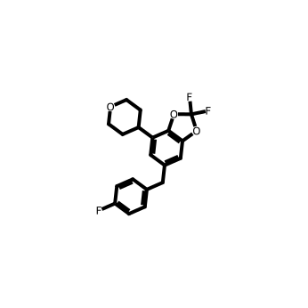 Fc1ccc(Cc2cc3c(c(C4CCOCC4)c2)OC(F)(F)O3)cc1